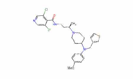 COc1ccc(N(Cc2ccsc2)C2CCN([C@H](C)CCNC(=O)c3c(Cl)cncc3Cl)CC2)cc1